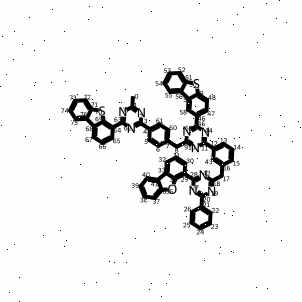 Cc1nc(-c2ccc(Cc3nc(-c4cccc(Cc5nc(-c6ccccc6)nc(-c6cccc7c6oc6ccccc67)n5)c4)nc(-c4ccc5sc6ccccc6c5c4)n3)cc2)nc(-c2cccc3c2sc2ccccc23)n1